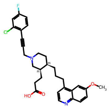 COc1ccc2nccc(CCC[C@@H]3CCN(CC#Cc4ccc(F)cc4Cl)C[C@@H]3CCC(=O)O)c2c1